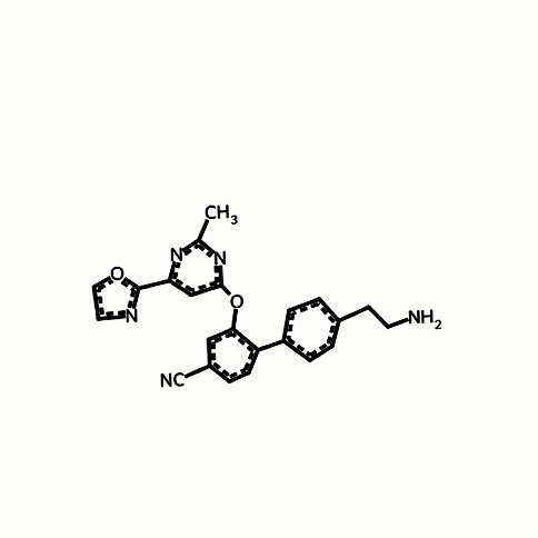 Cc1nc(Oc2cc(C#N)ccc2-c2ccc(CCN)cc2)cc(-c2ncco2)n1